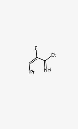 CCC(=N)/C(F)=C\C(C)C